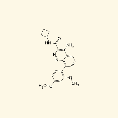 COc1ccc(-c2cccc3c(N)c(C(=O)NC4CCC4)nnc23)c(OC)c1